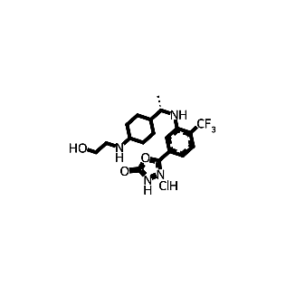 C[C@H](Nc1cc(-c2n[nH]c(=O)o2)ccc1C(F)(F)F)C1CCC(NCCO)CC1.Cl